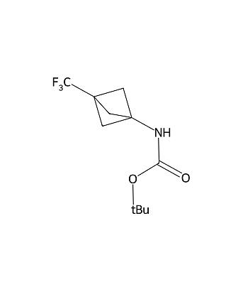 CC(C)(C)OC(=O)NC12CC(C(F)(F)F)(C1)C2